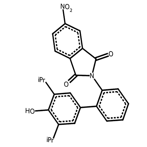 CC(C)c1cc(-c2ccccc2N2C(=O)c3ccc([N+](=O)[O-])cc3C2=O)cc(C(C)C)c1O